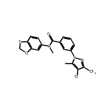 Cc1c(Cl)c(C(F)(F)F)nn1-c1cccc(C(=O)N(C)c2ccc3c(c2)OCO3)c1